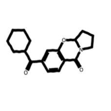 O=C(c1ccc2c(c1)OC1CCCN1C2=O)C1CCCCC1